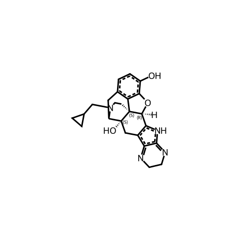 Oc1ccc2c3c1O[C@H]1c4[nH]c5c(c4C[C@@]4(O)C(C2)N(CC2CC2)CC[C@]314)=NCCN=5